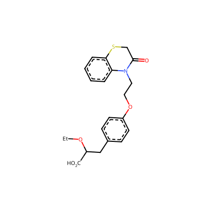 CCOC(Cc1ccc(OCCN2C(=O)CSc3ccccc32)cc1)C(=O)O